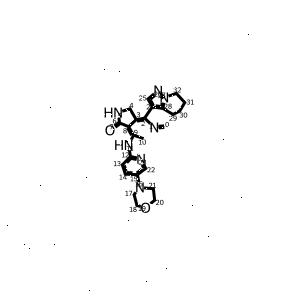 C=N/C(=C1/CNC(=O)/C1=C(/C)Nc1ccc(N2CCOCC2)cn1)c1cnn2c1CCCC2